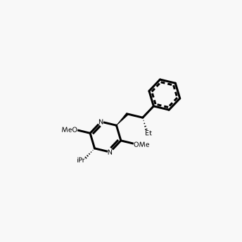 CC[C@H](C[C@@H]1N=C(OC)[C@@H](C(C)C)N=C1OC)c1ccccc1